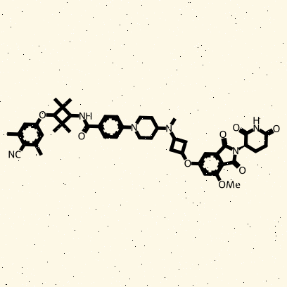 COc1cc(OC2CC(N(C)C3CCN(c4ccc(C(=O)NC5C(C)(C)C(Oc6cc(C)c(C#N)c(C)c6)C5(C)C)cc4)CC3)C2)cc2c1C(=O)N([C@@H]1CCC(=O)NC1=O)C2=O